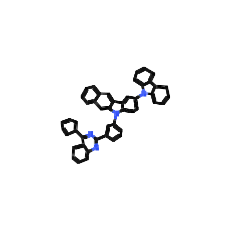 c1ccc(-c2nc(-c3cccc(-n4c5ccc(-n6c7ccccc7c7ccccc76)cc5c5cc6ccccc6cc54)c3)nc3ccccc23)cc1